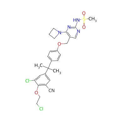 CC(C)(c1ccc(OCc2cnc(NS(C)(=O)=O)nc2N2CCC2)cc1)c1cc(Cl)c(OCCCl)c(C#N)c1